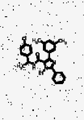 CCn1c(-c2ccccc2)nc(-c2cc(C)cc(C)c2)c1C(=O)NC(C)c1ccc(Cl)cc1